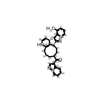 Cc1cccn2nc([C@H]3CCC(C(=O)c4cnn5ccccc45)CCCC4=C3CC=CN4)cc12